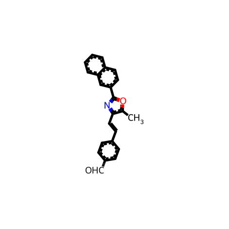 Cc1oc(-c2ccc3ccccc3c2)nc1/C=C/c1ccc(C=O)cc1